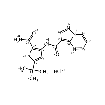 CC(C)(C)c1cc(NC(=O)c2cnn3cccnc23)c(C(N)=O)s1.Cl